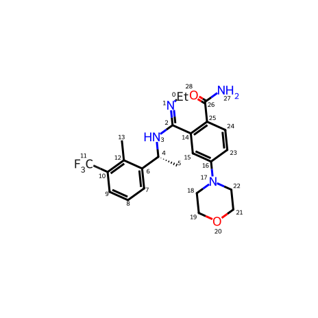 CC/N=C(/N[C@H](C)c1cccc(C(F)(F)F)c1C)c1cc(N2CCOCC2)ccc1C(N)=O